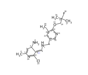 CC1=CC(N)/C(=C\NCc2cnc(OCC(C)(C)F)c(C)c2)C(Cl)=N1